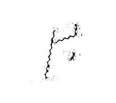 CCCCC(CCCC)CCOC(=O)CCCCCCCN(CCCN)CCCCCCCC(=O)OOC(CC)CC.O=C(O)C(F)(F)F